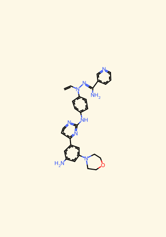 C=CN(/N=C(\N)c1cccnc1)c1ccc(Nc2nccc(-c3cc(N)cc(N4CCOCC4)c3)n2)cc1